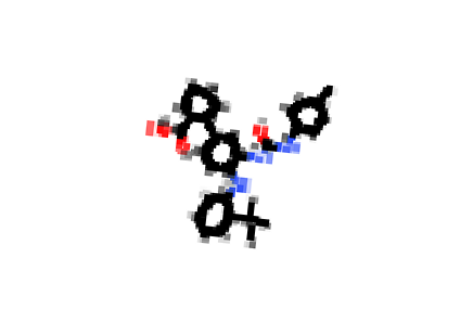 Cc1ccc(NC(=O)Nc2cc(-c3ccccc3C(=O)O)ccc2Nc2ccccc2C(C)(C)C)cc1